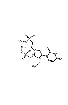 CO[C@H]1C(n2ccc(=O)[nH]c2=O)C[C@H](CCP(=O)(O)OC)[C@H]1OP(=O)(O)OC